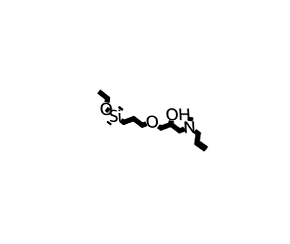 C=CCN(C)CC(O)COCCC[Si](C)(C)OCC